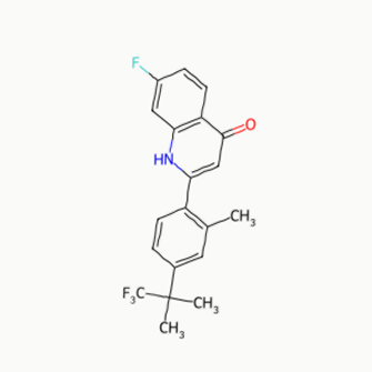 Cc1cc(C(C)(C)C(F)(F)F)ccc1-c1cc(=O)c2ccc(F)cc2[nH]1